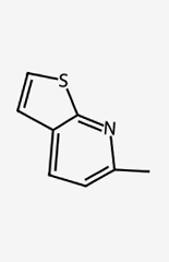 Cc1ccc2ccsc2n1